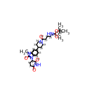 Cn1c(=O)n(C2CCC(=O)NC2=O)c2ccc(C3CCN(C(=O)CCCNC(=O)OC(C)(C)C)CC3)cc21